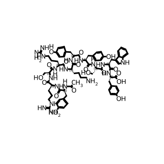 CC(=O)N[C@@H](Cc1ccc(O)cc1)C(=O)N[C@@H](CCCNC(=N)N)C(=O)N[C@@H](CO)C(=O)N[C@@H](CCCNC(=N)N)C(=O)N[C@@H](CCCCN)C(=O)N[C@@H](Cc1ccc(O)cc1)C(=O)N[C@@H](Cc1ccc(O)cc1)C(=O)N[C@@H](CO)C(=O)N[C@@H](Cc1c[nH]c2ccccc12)C(=O)N[C@@H](Cc1ccc(O)cc1)C(=O)O